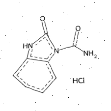 Cl.NC(=O)n1c(=O)[nH]c2ccccc21